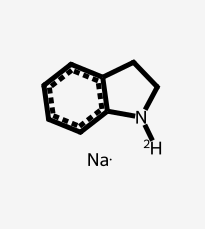 [2H]N1CCc2ccccc21.[Na]